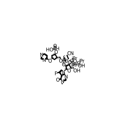 CC(C)[Si](O)(O[Si](O[C@H]1[C@@H](O[P@@](=S)(OCCC#N)OC[C@H]2C[C@@H](Oc3ccncn3)C[C@@H]2O[PH](=O)O)[C@H](n2cc(F)c3c(=O)n(C)cnc32)O[C@@H]1CO)(C(C)C)C(C)C)C(C)C